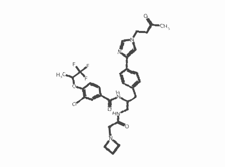 CC(=O)CCn1cnc(-c2ccc(CC(CNC(=O)CN3CCC3)NC(=O)c3ccc(OC(C)C(F)(F)F)c(Cl)c3)cc2)c1